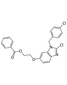 O=C(OCCOc1ccc2nc(Cl)n(Cc3ccc(Cl)cc3)c2c1)c1ccccc1